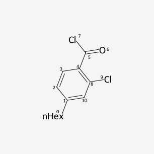 CCCCCCc1ccc(C(=O)Cl)c(Cl)c1